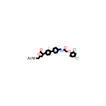 CC(=O)NCC1CC(c2ccc(-c3ccc(CNC(=O)COc4ccc(Cl)cc4Cl)cc3)c(F)c2)C(=O)O1